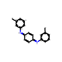 Cc1cccc(N=C2C=CC(=Nc3cccc(C)c3)C=C2)c1